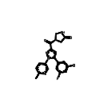 Cc1ccc(-n2nc(C(=O)N3CNC(=O)C3)cc2-c2cc(F)cc(Cl)c2)cn1